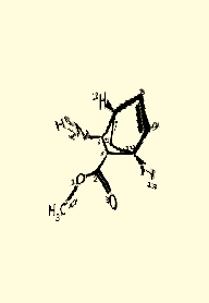 COC(=O)[C@H]1[C@@H](N)[C@@H]2C=C[C@H]1C2